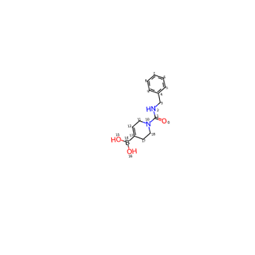 O=C(NCc1ccccc1)N1CC=C(B(O)O)CC1